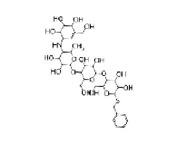 CC1OC(OC2C(CO)OC(OC3C(CO)OC(SCc4ccccc4)C(O)C3O)C(O)C2O)C(O)C(O)C1NC1C=C(CO)C(O)C(O)C1O